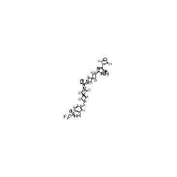 N=S(=O)(c1ccc(CC2CC3(C2)CN(C(=O)N2CC4(CC(c5nc(C6COC6)n[nH]5)C4)C2)C3)cc1)C(F)(F)F